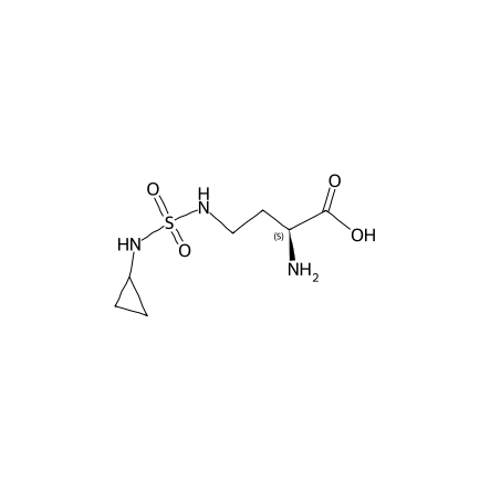 N[C@@H](CCNS(=O)(=O)NC1CC1)C(=O)O